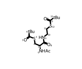 CC(=O)N[C@@H](CSC(=O)C(C)(C)C)C(=O)NCCSC(=O)C(C)(C)C